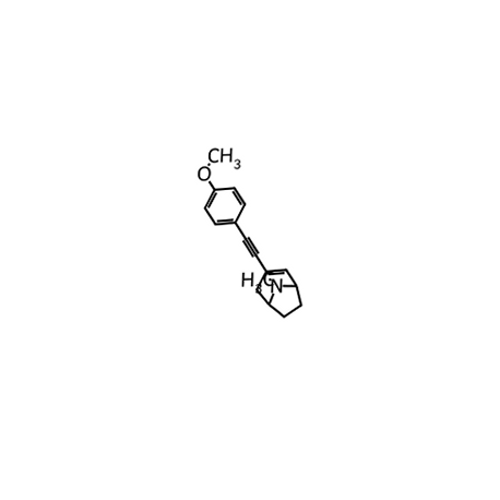 COc1ccc(C#CC2=CC3CCC(C2)N3C)cc1